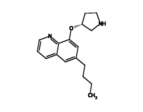 CCCCc1cc(O[C@@H]2CCNC2)c2ncccc2c1